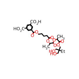 CCC(CO)(CO)COC(=O)C(C)OC(=O)C(C)OC(=O)CCCCOC(=O)c1cc(C(=O)O)cc(C(=O)O)c1